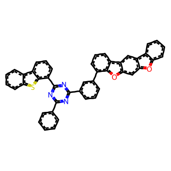 c1ccc(-c2nc(-c3cccc(-c4cccc5c4oc4cc6oc7ccccc7c6cc45)c3)nc(-c3cccc4c3sc3ccccc34)n2)cc1